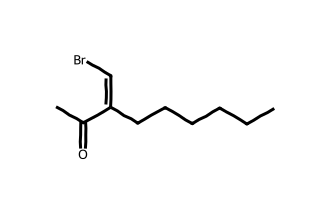 CCCCCCC(=CBr)C(C)=O